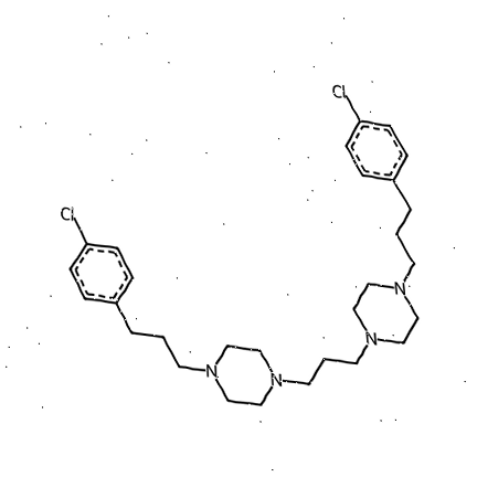 Clc1ccc(CCCN2CCN(CCCN3CCN(CCCc4ccc(Cl)cc4)CC3)CC2)cc1